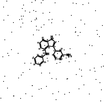 Nc1nccc(-c2c[nH]c3nccc(Nc4ccccc4)c23)n1